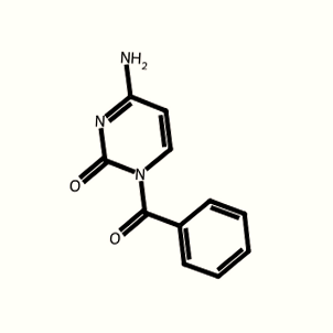 Nc1ccn(C(=O)c2ccccc2)c(=O)n1